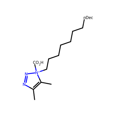 CCCCCCCCCCCCCCCCC[N+]1(C(=O)O)N=NC(C)=C1C